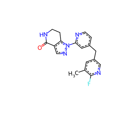 Cc1cc(Cc2ccnc(-n3ncc4c3CCNC4=O)c2)cnc1F